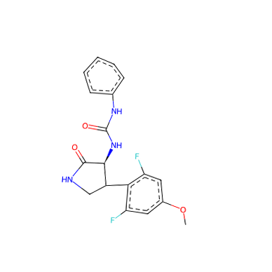 COc1cc(F)c(C2CNC(=O)[C@H]2NC(=O)Nc2ccccc2)c(F)c1